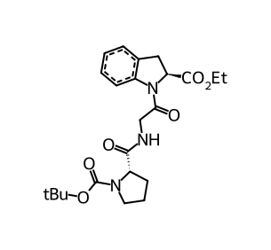 CCOC(=O)[C@@H]1Cc2ccccc2N1C(=O)CNC(=O)[C@@H]1CCCN1C(=O)OC(C)(C)C